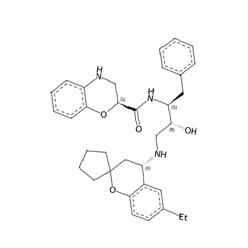 CCc1ccc2c(c1)[C@@H](NC[C@@H](O)[C@H](Cc1ccccc1)NC(=O)[C@@H]1CNc3ccccc3O1)CC1(CCCC1)O2